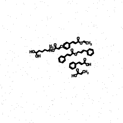 C=CC(=O)O.C=CC(=O)O.C=COC(=O)C=Cc1ccccc1.CCCCCC(O)O.O=C(C=Cc1ccccc1)OCC=Cc1ccccc1.O=C(O)C=Cc1ccccc1